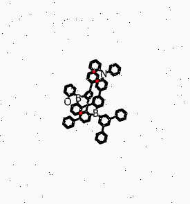 c1ccc(-c2cc(B3c4ccc(-c5ccccc5)cc4C4(c5cc(-c6ccc(N(c7ccccc7)c7ccccc7)cc6)ccc53)c3ccc(-c5ccccc5)cc3B3c5ccccc5Oc5cccc4c53)cc(-c3ccccc3)c2)cc1